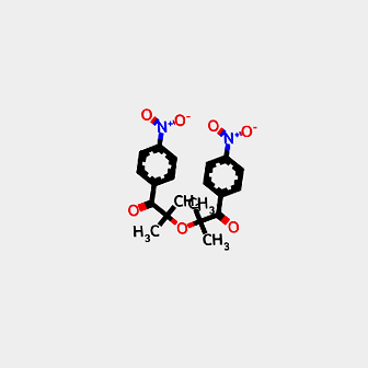 CC(C)(OC(C)(C)C(=O)c1ccc([N+](=O)[O-])cc1)C(=O)c1ccc([N+](=O)[O-])cc1